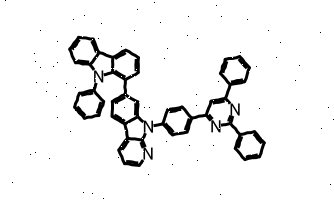 c1ccc(-c2cc(-c3ccc(-n4c5cc(-c6cccc7c8ccccc8n(-c8ccccc8)c67)ccc5c5cccnc54)cc3)nc(-c3ccccc3)n2)cc1